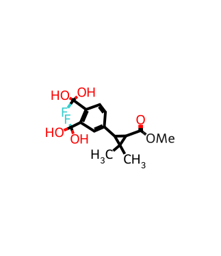 COC(=O)C1C(c2ccc(C(O)(O)F)c(C(O)(O)F)c2)C1(C)C